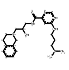 CN(C)CCCNc1cc(C(=O)NCC(O)CN2CCc3ccccc3C2)ncn1